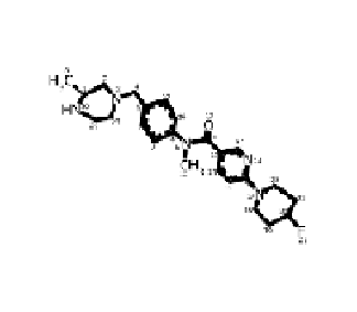 C[C@H]1CN(Cc2ccc(N(C)C(=O)c3ccc(N4CCC(F)CC4)nc3)cc2)CCN1